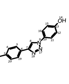 CC(C)c1ccc(-c2cn(-c3ccc(O)cc3)nn2)cc1